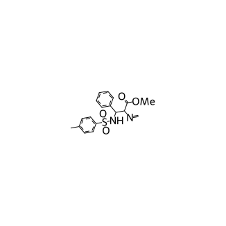 C=NC(C(=O)OC)C(NS(=O)(=O)c1ccc(C)cc1)c1ccccc1